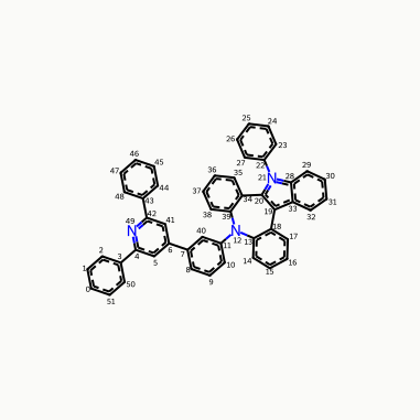 c1ccc(-c2cc(-c3cccc(N4c5ccccc5-c5c(n(-c6ccccc6)c6ccccc56)-c5ccccc54)c3)cc(-c3ccccc3)n2)cc1